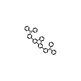 c1ccc(N(c2ccccc2)c2cccc(-c3ccc4c5ccc(-c6cccc(N(c7ccccc7)c7ccccc7)c6)cc5c5ccccc5c4c3)c2)cc1